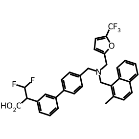 Cc1ccc2ccccc2c1CN(Cc1ccc(-c2cccc(C(C(=O)O)C(F)F)c2)cc1)Cc1ccc(C(F)(F)F)o1